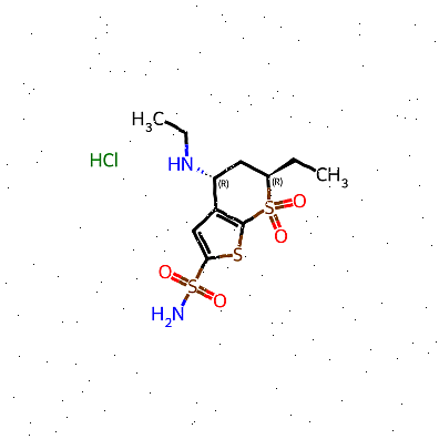 CCN[C@@H]1C[C@@H](CC)S(=O)(=O)c2sc(S(N)(=O)=O)cc21.Cl